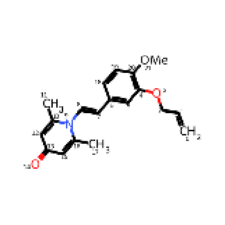 C=CCOc1cc(C=Cn2c(C)cc(=O)cc2C)ccc1OC